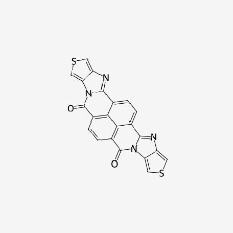 O=c1c2ccc3c(=O)n4c5cscc5nc4c4ccc(c2c34)c2nc3cscc3n12